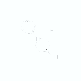 C[C@@H]1CN(C)CCN1c1ccccc1